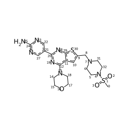 CS(=O)(=O)N1CCN(Cc2cc3c(N4CCOCC4)nc(-c4cnc(N)nc4)nc3s2)CC1